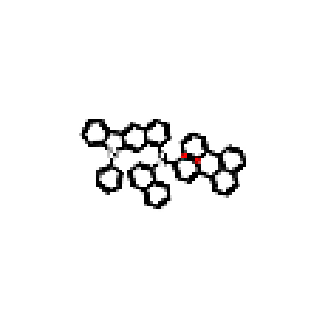 c1ccc(-c2cccc3cccc(-c4ccc(N(c5cccc6ccccc56)c5cccc6cc7c8ccccc8n(-c8ccccc8)c7cc56)cc4)c23)cc1